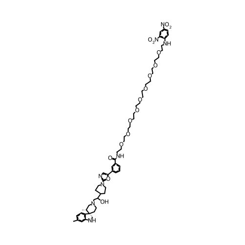 Cc1ccc2c(c1)NC[C@]21CCN(CC(O)C2CCN(c3ncc(-c4cccc(C(=O)NCCOCCOCCOCCOCCOCCOCCOCCOCCOCCNc5ccc([N+](=O)[O-])cc5[N+](=O)[O-])c4)o3)CC2)C[C@H]1C